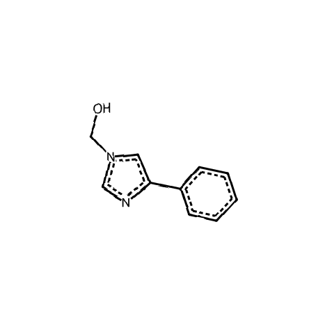 OCn1cnc(-c2ccccc2)c1